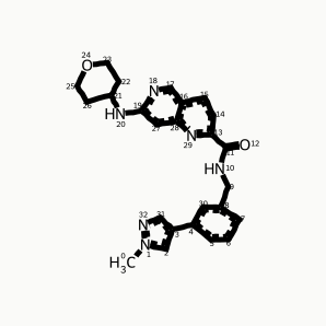 Cn1cc(-c2cccc(CNC(=O)c3ccc4cnc(NC5CCOCC5)cc4n3)c2)cn1